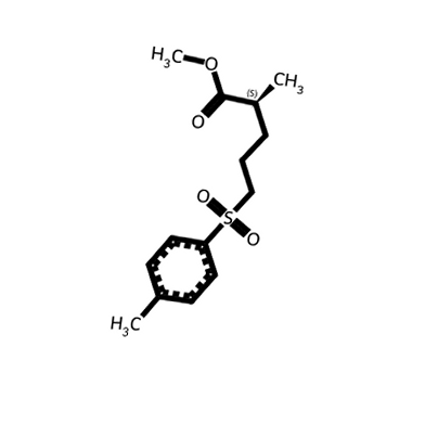 COC(=O)[C@@H](C)CCCS(=O)(=O)c1ccc(C)cc1